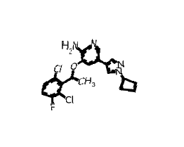 CC(Oc1cc(-c2cnn(C3CCC3)c2)cnc1N)c1c(Cl)ccc(F)c1Cl